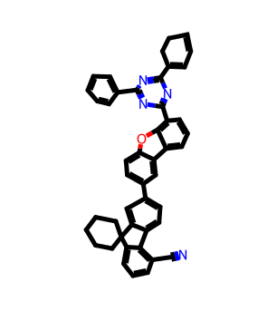 N#Cc1cccc2c1-c1ccc(-c3ccc4oc5c(-c6nc(C7=CC=CCC7)nc(-c7ccccc7)n6)cccc5c4c3)cc1C21CCCCC1